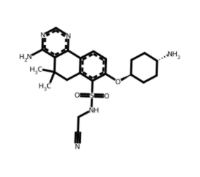 CC1(C)Cc2c(ccc(O[C@H]3CC[C@H](N)CC3)c2S(=O)(=O)NCC#N)-c2ncnc(N)c21